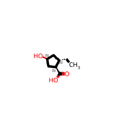 CC[C@H]1C[C@H](O)C[C@@H]1C(=O)O